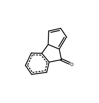 O=C1C2=CC=CC2c2ccccc21